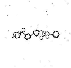 CN1CCN(C(=O)c2cccc(-c3ccc(CN4C[C@@H](c5ccccc5)OC4=O)cc3)c2)CC1